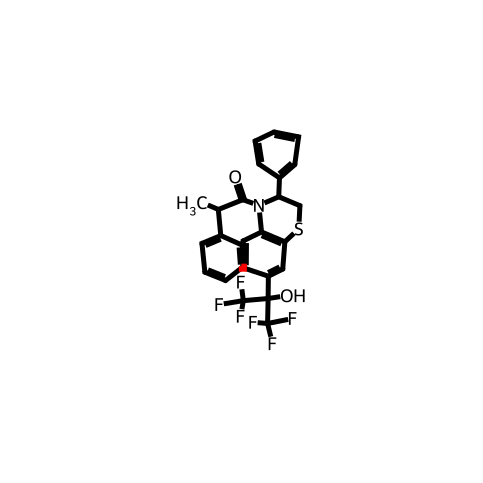 CC(C(=O)N1c2ccc(C(O)(C(F)(F)F)C(F)(F)F)cc2SCC1c1ccccc1)c1ccccc1